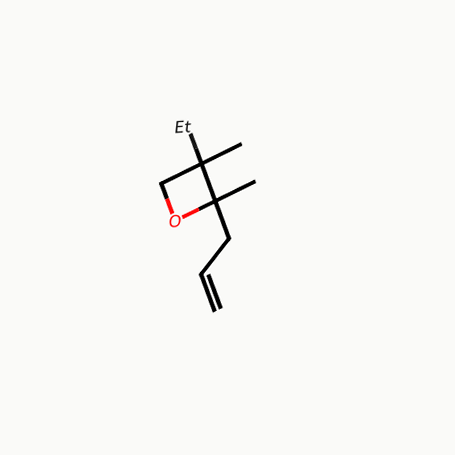 C=CCC1(C)OCC1(C)CC